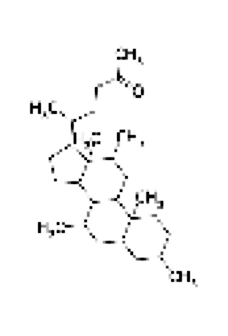 CC(=O)CCC(C)C1CCC2C3C(C)CC4CC(C)CCC4(C)C3CC(C)C12C